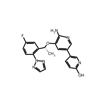 C[C@@H](Oc1cc(-c2ccc(O)nc2)cnc1N)c1cc(F)ccc1-n1nccn1